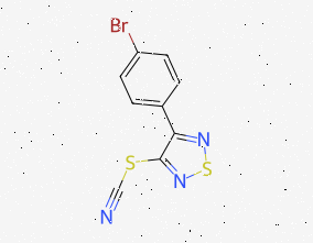 N#CSc1nsnc1-c1ccc(Br)cc1